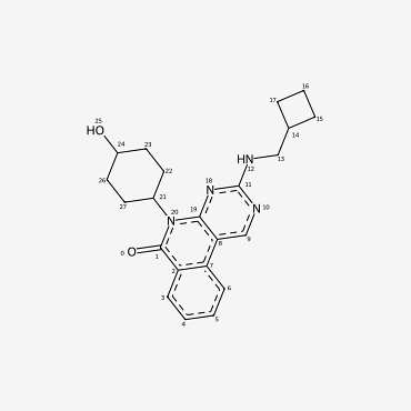 O=c1c2ccccc2c2cnc(NCC3CCC3)nc2n1C1CCC(O)CC1